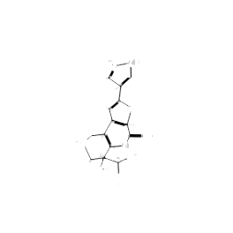 O=c1[nH]c2c(c3cc(-c4cn[nH]c4)sc13)COCC2(O)C(F)F